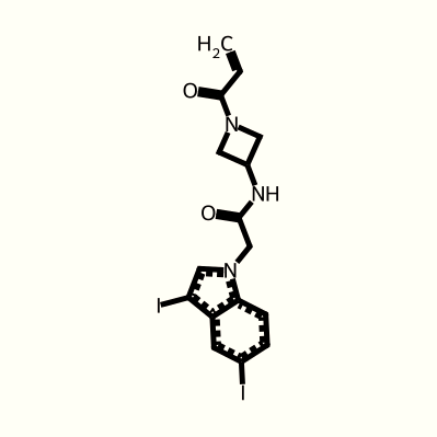 C=CC(=O)N1CC(NC(=O)Cn2cc(I)c3cc(I)ccc32)C1